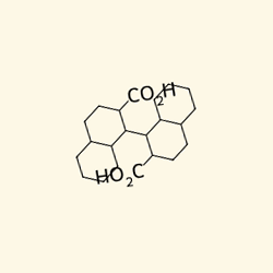 O=C(O)C1CCC2CCCCC2C1C1C(C(=O)O)CCC2CCCCC21